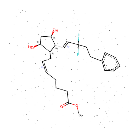 CC(C)OC(=O)CCC/C=C\C[C@@H]1[C@@H](/C=C/C(F)(F)CCc2ccccc2)[C@H](O)C[C@@H]1O